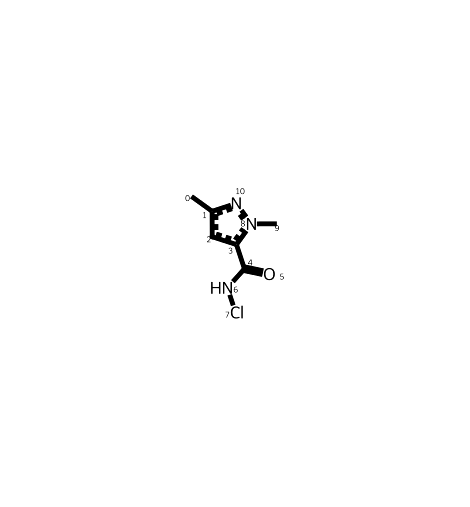 Cc1cc(C(=O)NCl)n(C)n1